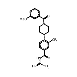 COc1cccc(C(=O)N2CCC(c3ccc(C(=O)NC(=N)N)cc3C(F)(F)F)CC2)c1